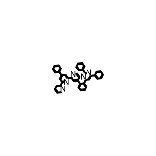 c1ccc(-c2cc(-c3ccccn3)nc(-c3cc(-c4ccccc4-c4cc(-c5ccccc5)nc(-c5ccccc5)n4)ccn3)c2)cc1